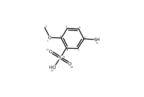 COc1ccc(S)cc1S(=O)(=O)O